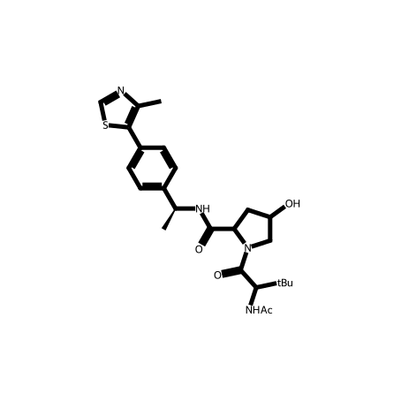 CC(=O)NC(C(=O)N1CC(O)CC1C(=O)N[C@@H](C)c1ccc(-c2scnc2C)cc1)C(C)(C)C